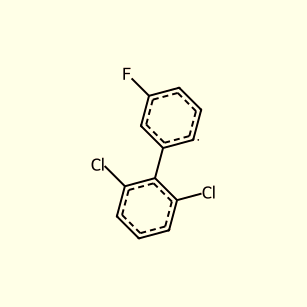 Fc1cc[c]c(-c2c(Cl)cccc2Cl)c1